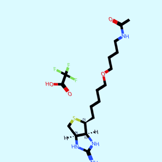 CC(=O)NCCCCOCCCCC[C@@H]1SC[C@@H]2NC(=N)N[C@@H]21.O=C(O)C(F)(F)F